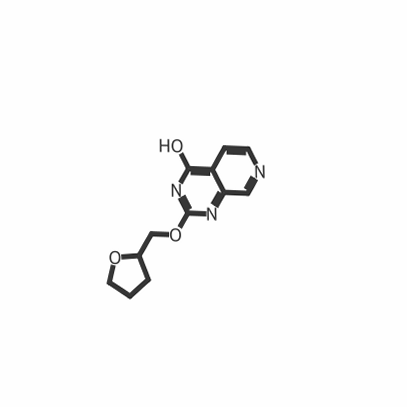 Oc1nc(OCC2CCCO2)nc2cnccc12